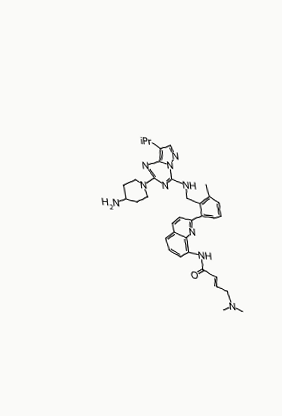 Cc1cccc(-c2ccc3cccc(NC(=O)/C=C/CN(C)C)c3n2)c1CNc1nc(N2CCC(N)CC2)nc2c(C(C)C)cnn12